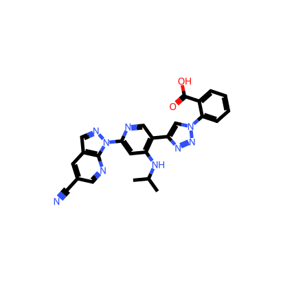 CC(C)Nc1cc(-n2ncc3cc(C#N)cnc32)ncc1-c1cn(-c2ccccc2C(=O)O)nn1